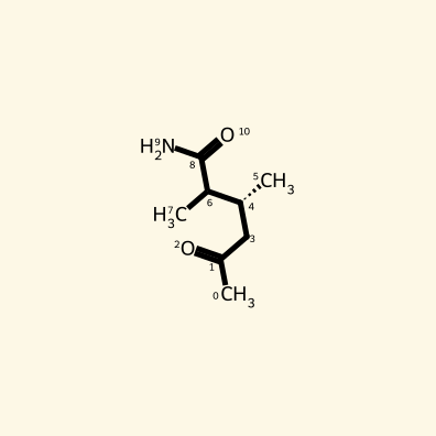 CC(=O)C[C@@H](C)C(C)C(N)=O